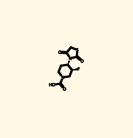 O=C(O)N1CC[C@H](N2C(=O)CSC2=O)[C@@H](F)C1